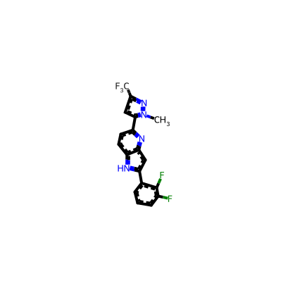 Cn1nc(C(F)(F)F)cc1-c1ccc2[nH]c(-c3cccc(F)c3F)cc2n1